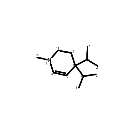 CC(C)C1(C(C)C)C=CN(C)CC1